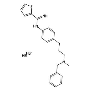 Br.Br.CN(CCCc1ccc(NC(=N)c2cccs2)cc1)Cc1ccccc1